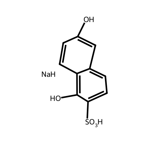 O=S(=O)(O)c1ccc2cc(O)ccc2c1O.[NaH]